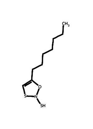 CCCCCCCC1=CSN(S)O1